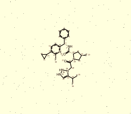 O=C(N[C@@H](c1ccccc1)c1ccc(C2CC2)c(F)n1)[C@@H]1C[C@@H](F)CN1C(=O)CN1NNC=C1C(F)F